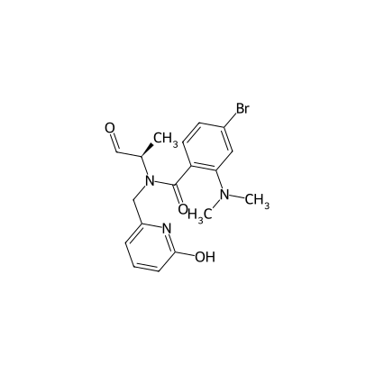 C[C@H](C=O)N(Cc1cccc(O)n1)C(=O)c1ccc(Br)cc1N(C)C